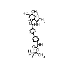 C=C(NC(=O)c1csc(-c2ccc(NC(=O)OC(C)(C)C)cc2)n1)C(=O)N[C@@H](C)C(=O)O